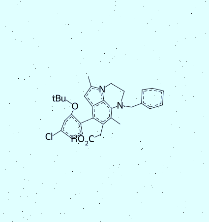 Cc1c(CC(=O)O)c(-c2ccc(Cl)cc2OC(C)(C)C)c2cc(C)n3c2c1N(Cc1ccccc1)CC3